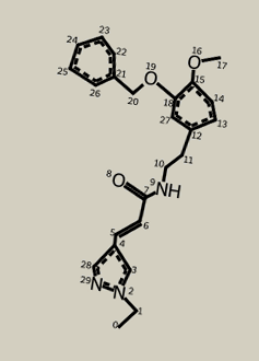 CCn1cc(C=CC(=O)NCCc2ccc(OC)c(OCc3ccccc3)c2)cn1